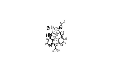 CCOC(=O)OC1=C(CBr)Nc2ccnc(OC(C)C)c2C1c1ccccc1Cl